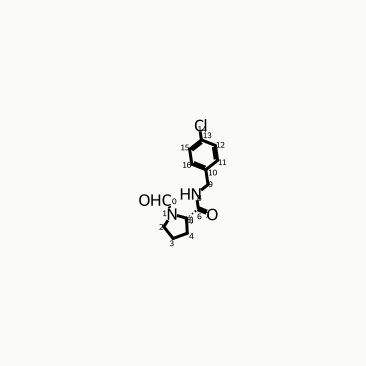 O=CN1CCC[C@H]1C(=O)NCc1ccc(Cl)cc1